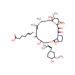 CO[C@H]1C[C@@H](C)[C@@]2(O)O[C@@H]1[C@@H](O)C[C@@H](C)C/C(C)=C/[C@@H](C/C=C/CCCC(=O)O)C(=O)C[C@H](O)[C@@H](C)[C@@H](/C(C)=C/[C@@H]1CC[C@@H](O)[C@H](OC)C1)OC(=O)[C@@H]1CCCCN1C(=O)C2=O